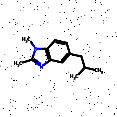 Cc1nc2cc(CC(C)C)ccc2n1C